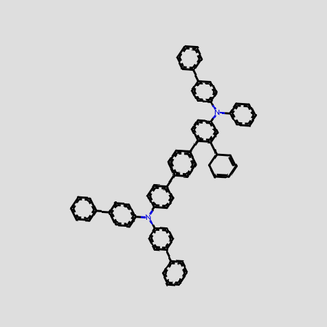 C1=CCC(c2cc(N(c3ccccc3)c3ccc(-c4ccccc4)cc3)ccc2-c2ccc(-c3ccc(N(c4ccc(-c5ccccc5)cc4)c4ccc(-c5ccccc5)cc4)cc3)cc2)C=C1